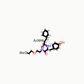 COCCOCCNC(=O)[C@H](Cc1ccc(O)cc1)NC(=O)[C@@H](Cc1ccccc1)NC(C)=O